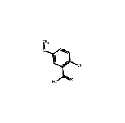 COc1ccc(O)c(C(=S)S)c1